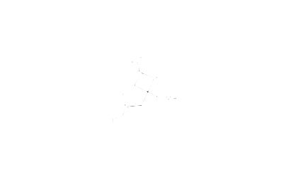 COC1(CN(C)C)CN(C(C)C)C1